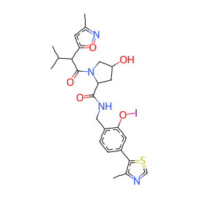 Cc1cc(C(C(=O)N2CC(O)CC2C(=O)NCc2ccc(-c3scnc3C)cc2OI)C(C)C)on1